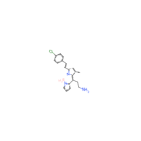 Bn1cccc1/C(CCN)=C1N=C(/C=C/c2ccc(Cl)cc2)C=C\1C